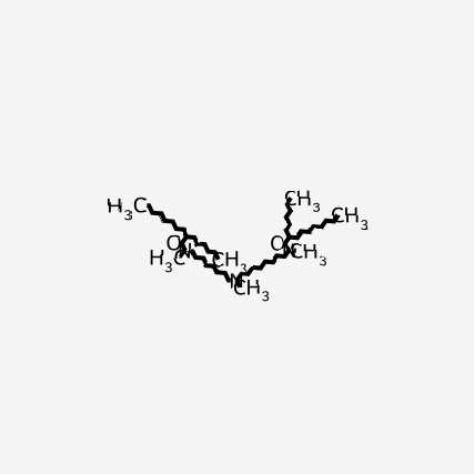 CCCCCCCCC(CCCCCC)C(=O)N(C)CCCCCCCCN(C)CCCCCCCCN(C)C(=O)C(CCCCCC)CCCCCCCC